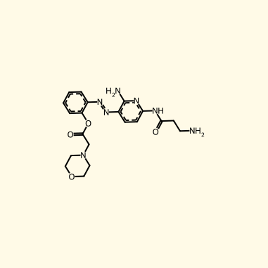 NCCC(=O)Nc1ccc(/N=N/c2ccccc2OC(=O)CN2CCOCC2)c(N)n1